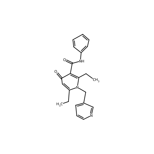 CCc1cc(=O)c(C(=O)Nc2ccccc2)c(CC)n1Cc1cccnc1